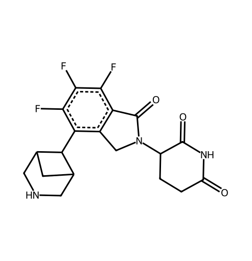 O=C1CCC(N2Cc3c(c(F)c(F)c(F)c3C3C4CNCC3C4)C2=O)C(=O)N1